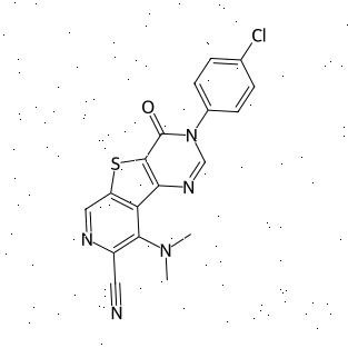 CN(C)c1c(C#N)ncc2sc3c(=O)n(-c4ccc(Cl)cc4)cnc3c12